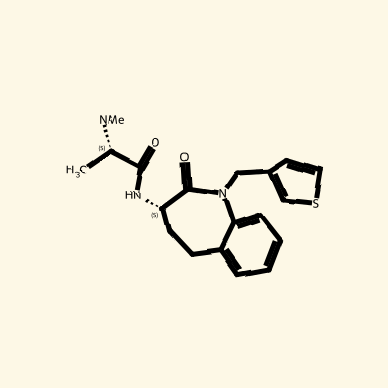 CN[C@@H](C)C(=O)N[C@H]1CCc2ccccc2N(Cc2ccsc2)C1=O